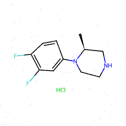 C[C@H]1CNCCN1c1ccc(F)c(F)c1.Cl